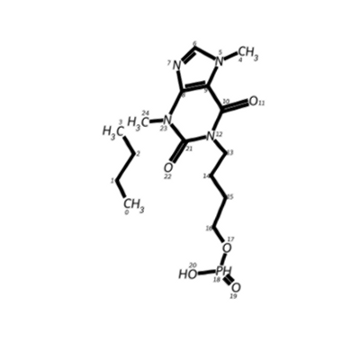 CCCC.Cn1cnc2c1c(=O)n(CCCCO[PH](=O)O)c(=O)n2C